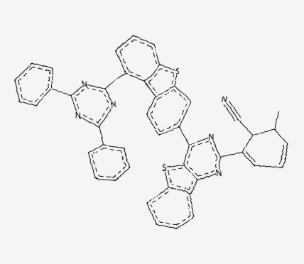 CC1C=CC=C(c2nc(-c3ccc4c(c3)sc3cccc(-c5nc(-c6ccccc6)nc(-c6ccccc6)n5)c34)c3sc4ccccc4c3n2)C1C#N